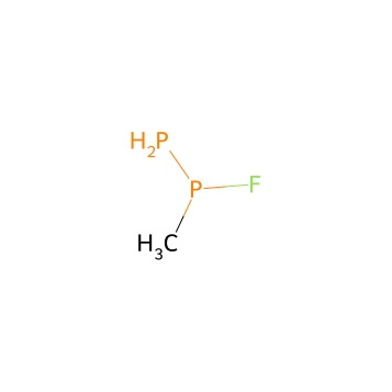 CP(F)P